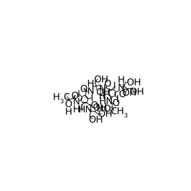 CC(O)C(=O)Nc1c(I)c(C(=O)NCC(CO)(CO)CNC(=O)c2c(I)c(NC(=O)C(C)O)c(I)c(C(=O)NC(CO)C(O)CO)c2I)c(I)c(C(=O)NC(CO)C(O)CO)c1I